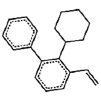 C=Cc1cccc(-c2ccccc2)c1C1CCCCC1